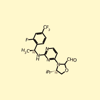 CC(C)[C@H]1COC(C=O)N1c1ccnc(N[C@@H](C)c2ccc(C(F)(F)F)cc2F)n1